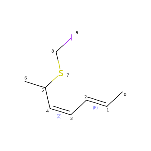 C/C=C/C=C\C(C)SCI